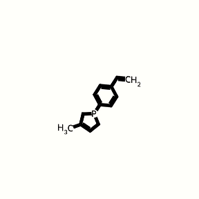 C=Cc1ccc(P2CC=C(C)C2)cc1